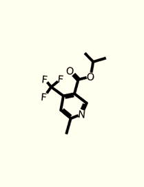 Cc1cc(C(F)(F)F)c(C(=O)OC(C)C)cn1